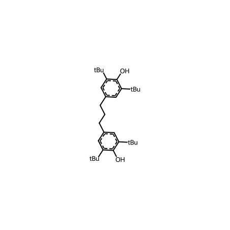 CC(C)(C)c1cc(CCCc2cc(C(C)(C)C)c(O)c(C(C)(C)C)c2)cc(C(C)(C)C)c1O